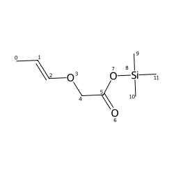 CC=COCC(=O)O[Si](C)(C)C